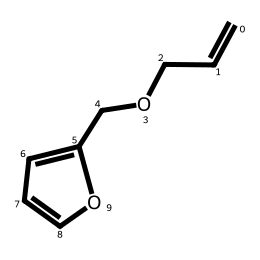 C=CCOCc1ccco1